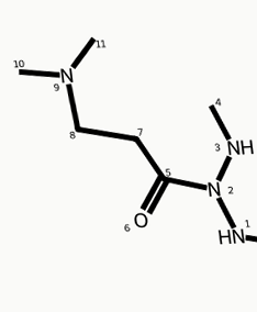 CNN(NC)C(=O)CCN(C)C